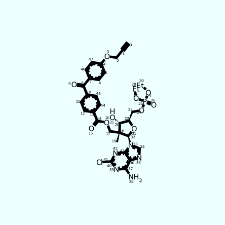 C#CCOc1ccc(C(=O)c2ccc(C(=O)OC[C@]3(C)[C@H](O)[C@@H](COP(=O)(OCC)OCC)O[C@H]3n3cnc4c(N)nc(Cl)nc43)cc2)cc1